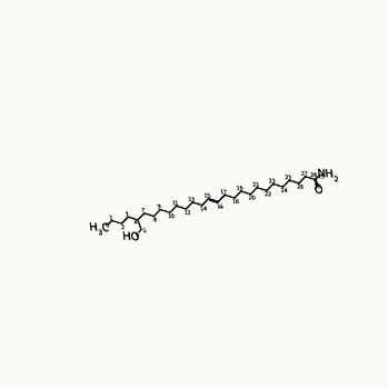 CCCCC(CO)CCCCCCCC/C=C/CCCCCCCCCCCC(N)=O